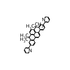 CC1(C)c2cc(-c3ccccn3)ccc2-c2ccc3c4c(ccc1c24)C(C)(C)c1cc(-c2ccccn2)ccc1-3